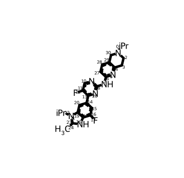 CC(C)N1CCc2nc(Nc3ncc(F)c(-c4cc(F)c5c(c4)N(C(C)C)C(C)N5)n3)ccc2C1